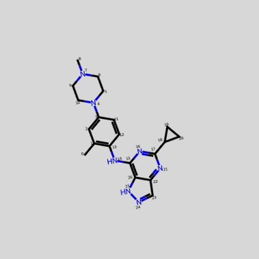 Cc1cc(N2CCN(C)CC2)ccc1Nc1nc(C2CC2)nc2cn[nH]c12